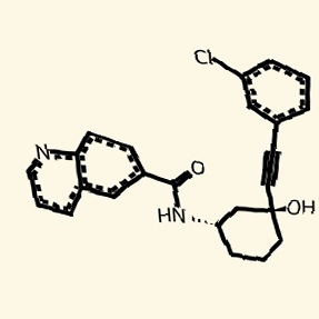 O=C(N[C@H]1CCC[C@@](O)(C#Cc2cccc(Cl)c2)C1)c1ccc2ncccc2c1